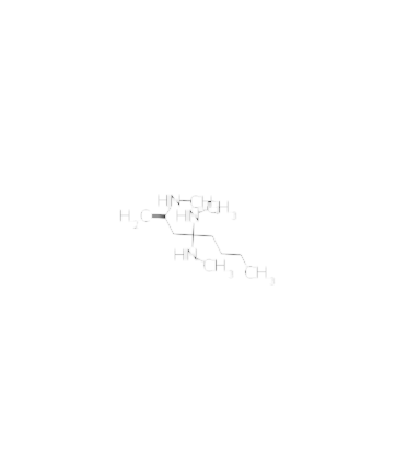 C=C(CC(CCCC)(NC)NC)NC